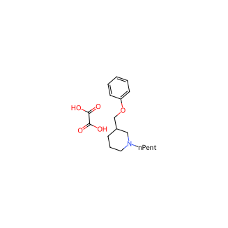 CCCCCN1CCCC(COc2ccccc2)C1.O=C(O)C(=O)O